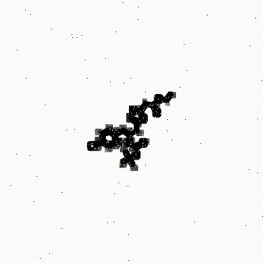 CCOC(=O)Cc1nnc(C[C@H](Cc2ccc(Cl)cc2)NC(=O)OC(C)(C)C)o1